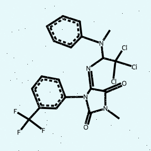 CN1C(=O)C(=NC(N(C)c2ccccc2)C(Cl)(Cl)Cl)N(c2cccc(C(F)(F)F)c2)C1=O